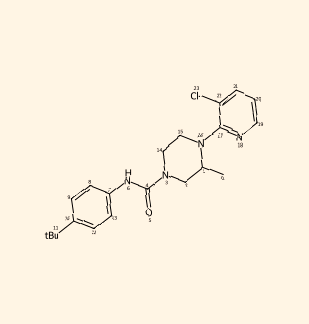 CC1CN(C(=O)Nc2ccc(C(C)(C)C)cc2)CCN1c1ncccc1Cl